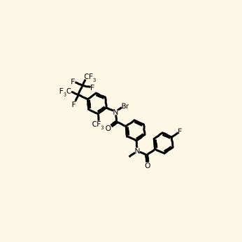 CN(C(=O)c1ccc(F)cc1)c1cccc(C(=O)N(Br)c2ccc(C(F)(C(F)(F)F)C(F)(F)C(F)(F)F)cc2C(F)(F)F)c1